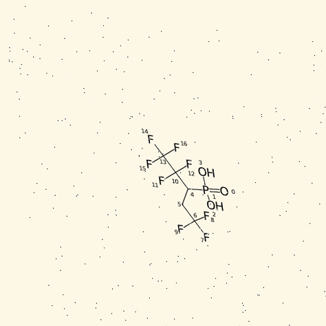 O=P(O)(O)C(CC(F)(F)F)C(F)(F)C(F)(F)F